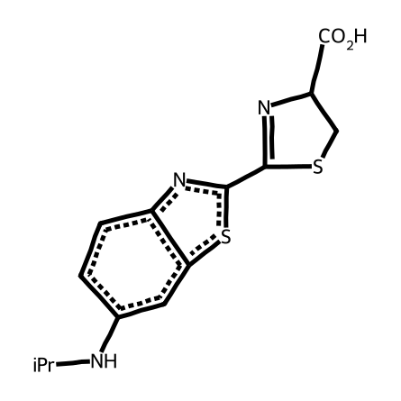 CC(C)Nc1ccc2nc(C3=NC(C(=O)O)CS3)sc2c1